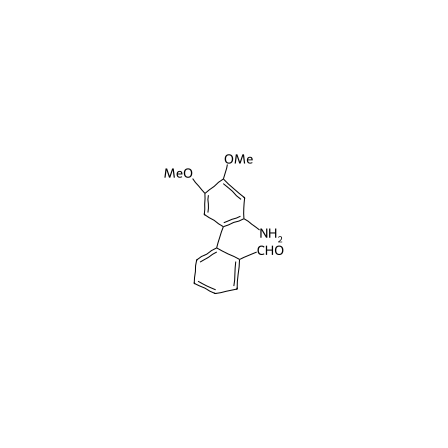 COc1cc(N)c(-c2ccccc2C=O)cc1OC